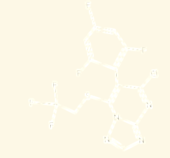 Fc1cc(F)c(-c2c(Cl)nc3ncnn3c2SCC(F)(F)F)c(F)c1